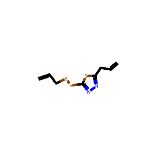 C=CCSSc1nnc(CC=C)s1